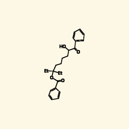 CCC(CC)(CCCCC(O)C(=O)c1ccccc1)OC(=O)c1ccccc1